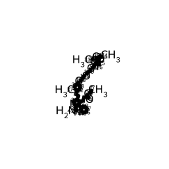 CCOC(=O)CCc1c(CCc2ccc(OCCOCCOCCC(F)(F)P(=O)(OCC)OCC)cc2C)cnc2c(N)nc3ccccc3c12